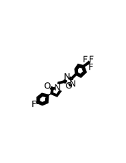 O=C1[C@H](c2ccc(F)cc2)CCN1Cc1nc(-c2ccc(C(F)(F)F)cc2)no1